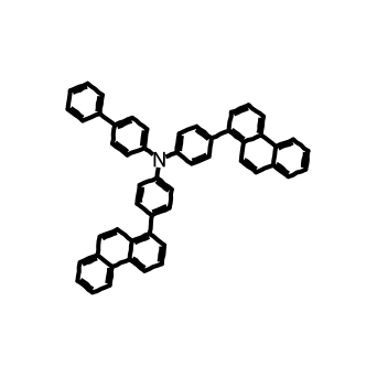 c1ccc(-c2ccc(N(c3ccc(-c4cccc5c4ccc4ccccc45)cc3)c3ccc(-c4cccc5c4ccc4ccccc45)cc3)cc2)cc1